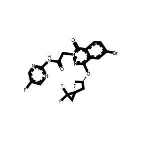 O=C(Cn1nc(O[C@H]2C[C@@]3(CC3(F)F)C2)c2cc(Br)ccc2c1=O)Nc1ncc(F)cn1